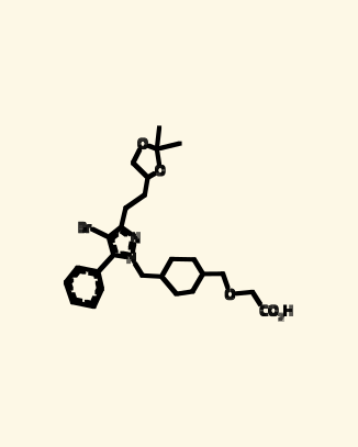 CC1(C)OCC(CCc2nn(CC3CCC(COCC(=O)O)CC3)c(-c3ccccc3)c2Br)O1